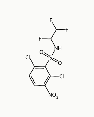 O=[N+]([O-])c1ccc(Cl)c(S(=O)(=O)NC(F)C(F)F)c1Cl